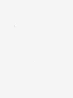 CCOC1(CCC=O)CCC(F)(F)CC1